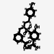 COC(=O)c1cccc(CN(CCc2ccc(C(C)C)cc2)S(=O)(=O)c2cc(C(=N)N)ccc2O)c1